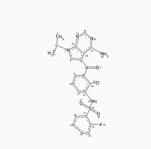 CC(C)n1cc(C(=O)c2cccc(NS(=O)(=O)c3ccccc3F)c2Cl)c2c(N)ncnc21